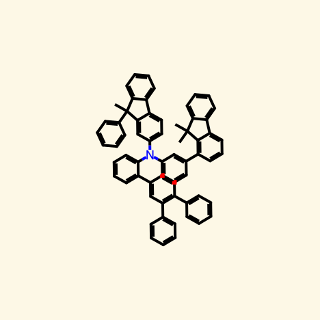 CC1(C)c2ccccc2-c2cccc(-c3cccc(N(c4ccc5c(c4)C(C)(c4ccccc4)c4ccccc4-5)c4ccccc4-c4ccc(-c5ccccc5)c(-c5ccccc5)c4)c3)c21